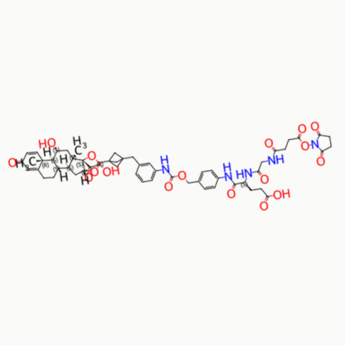 C[C@]12C=CC(=O)C=C1CC[C@@H]1[C@@H]2[C@@H](O)C[C@@]2(C)[C@H]1C[C@H]1O[C@@H](C34CC(Cc5cccc(NC(=O)OCc6ccc(NC(=O)[C@H](CCC(=O)O)NC(=O)CNC(=O)CCC(=O)ON7C(=O)CCC7=O)cc6)c5)(C3)C4)O[C@]12C(=O)CO